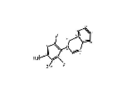 Nc1cc(F)c(N2C=Nc3ccccc3C2)c(F)c1Br